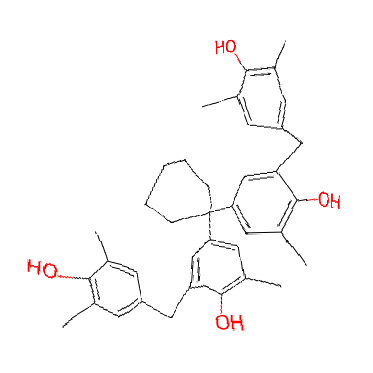 Cc1cc(Cc2cc(C3(c4cc(C)c(O)c(Cc5cc(C)c(O)c(C)c5)c4)CCCCC3)cc(C)c2O)cc(C)c1O